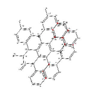 C=CB1c2ccccc2Sc2c1c1c3c(c2-c2c(-c4ccccc4)cccc2-c2ccccc2)N(c2c(F)cccc2F)c2ccc(C)cc2B3c2cc(C)ccc2N1C(C)C(C)C